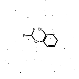 FC(F)OC1=C(Br)[CH]CC=C1